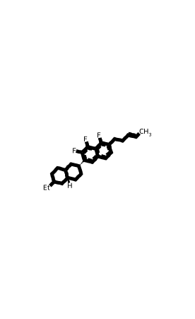 C/C=C/CCc1ccc2cc([C@@H]3CC[C@@H]4CC(CC)CCC4C3)c(F)c(F)c2c1F